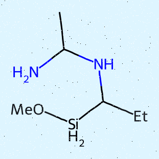 CCC(NC(C)N)[SiH2]OC